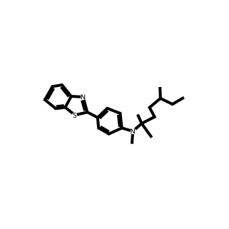 CCC(C)CCC(C)(C)N(C)c1ccc(-c2nc3ccccc3s2)cc1